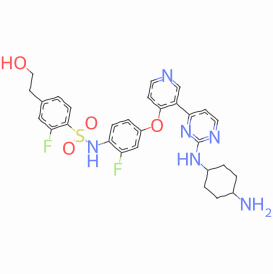 NC1CCC(Nc2nccc(-c3cnccc3Oc3ccc(NS(=O)(=O)c4ccc(CCO)cc4F)c(F)c3)n2)CC1